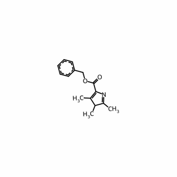 CC1=NC(C(=O)OCc2ccccc2)=C(C)C1C